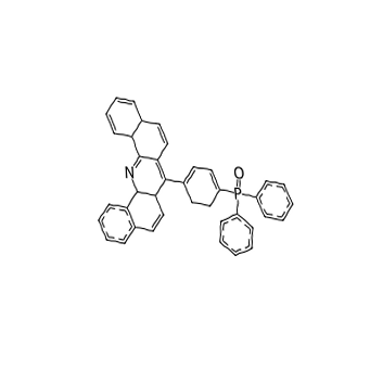 O=P(C1=CC=C(C2=C3C=CC4C=CC=CC4C3=NC3c4ccccc4C=CC23)CC1)(c1ccccc1)c1ccccc1